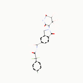 BC(NC(=O)C(F)(F)c1ccc(Cl)cc1)c1ccc2c(c1)CN([C@@]1(B)C(=O)NC(=O)C(B)C1(B)B)C2=O